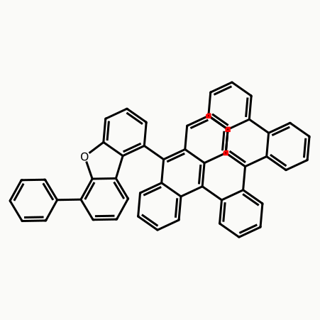 c1ccc(-c2cccc3c2oc2cccc(-c4c5ccccc5c(-c5ccccc5-c5cc6ccccc6c6ccccc56)c5ccccc45)c23)cc1